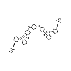 CC(C)(O)C#Cc1cccc(Oc2ccccc2S(=O)(=O)c2ccc(Oc3ccc(Oc4ccc(S(=O)(=O)c5ccccc5Oc5cccc(C#CC(C)(C)O)c5)cc4)cc3)cc2)c1